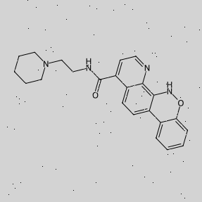 O=C(NCCN1CCCCC1)c1ccnc2c3c(ccc12)-c1ccccc1ON3